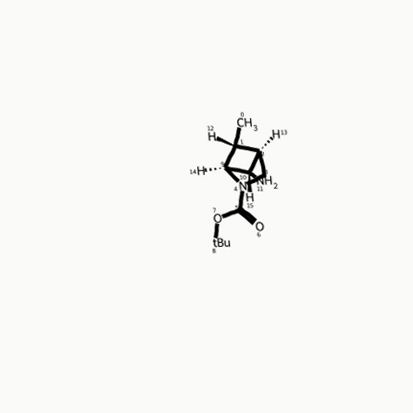 C[C@@H]1[C@H]2CN(C(=O)OC(C)(C)C)[C@@H]1[C@H]2N